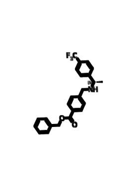 C[C@H](NCc1ccc(C(=O)OCc2ccccc2)cc1)c1ccc(C(F)(F)F)cc1